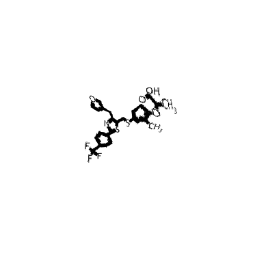 Cc1cc(SCc2sc(-c3ccc(C(F)(F)F)cc3)nc2Cc2ccoc2)ccc1OC(C)C(=O)O